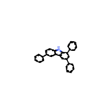 [c]1ccc(-c2cc(-c3ccccc3)cc3c2[nH]c2ccc(-c4ccccc4)cc23)cc1